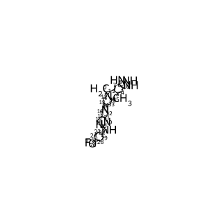 C=C(c1ccc2c(c1)NNN2)N1CC[C@@H](N2Cc3cnc(Nc4ccc(OF)cc4)nc3C2)C[C@H]1C